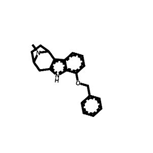 CN1C2CCC1c1c([nH]c3c(OCc4ccccc4)cccc13)C2